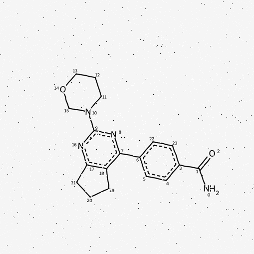 NC(=O)c1ccc(-c2nc(N3CCCOC3)nc3c2CCC3)cc1